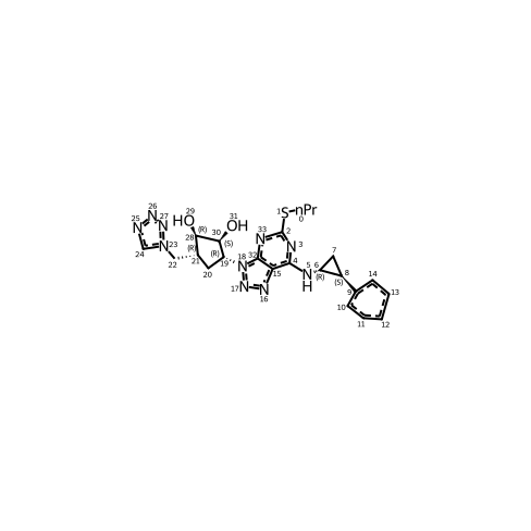 CCCSc1nc(N[C@@H]2C[C@H]2c2ccccc2)c2nnn([C@@H]3C[C@H](Cn4cnnn4)[C@@H](O)[C@H]3O)c2n1